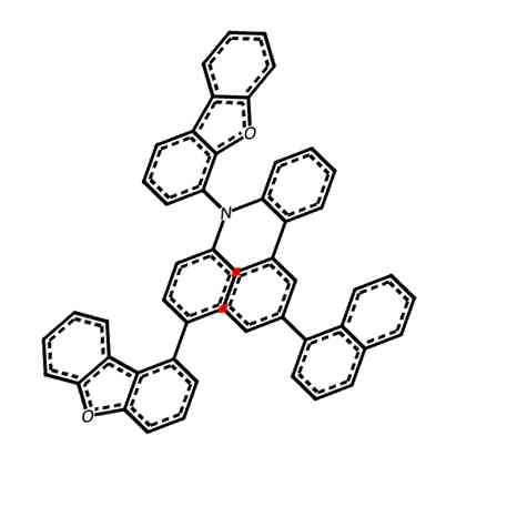 c1cc(-c2ccccc2N(c2ccc(-c3cccc4oc5ccccc5c34)cc2)c2cccc3c2oc2ccccc23)cc(-c2cccc3ccccc23)c1